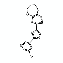 Brc1cncc(-c2nc(-c3ccc4c(c3)OCCCO4)cs2)c1